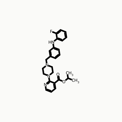 CC(C)OC(=O)c1cccnc1N1CCN(Cc2cccc(Nc3ccccc3F)c2)CC1